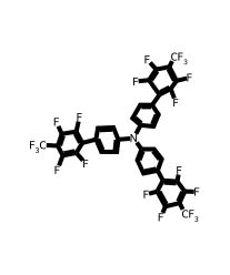 Fc1c(F)c(C(F)(F)F)c(F)c(F)c1-c1ccc(N(c2ccc(-c3c(F)c(F)c(C(F)(F)F)c(F)c3F)cc2)c2ccc(-c3c(F)c(F)c(C(F)(F)F)c(F)c3F)cc2)cc1